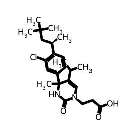 CC(C)C1=CN(CCC(=O)O)C(=O)NC1(C)c1ccc([C@H](C)CC(C)(C)C)c(Cl)c1